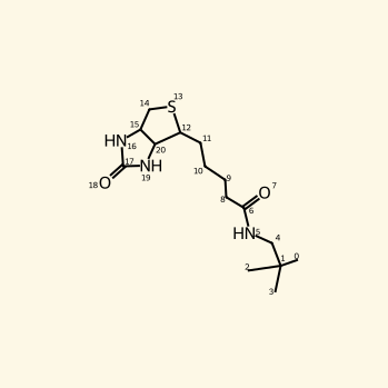 CC(C)(C)CNC(=O)CCCCC1SCC2NC(=O)NC21